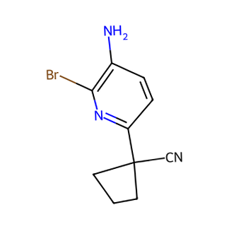 N#CC1(c2ccc(N)c(Br)n2)CCC1